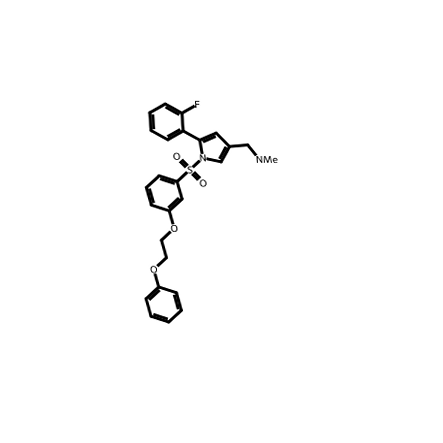 CNCc1cc(-c2ccccc2F)n(S(=O)(=O)c2cccc(OCCOc3ccccc3)c2)c1